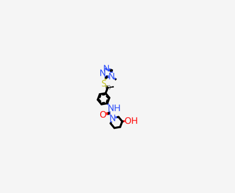 C[C@H](Sc1nncn1C)c1cccc(NC(=O)N2CCCC(O)C2)c1